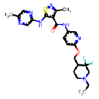 Cc1nsc(Nc2cnc(C(F)(F)F)cn2)c1C(=O)Nc1ccc(OCC2CCN(CC(F)(F)F)CC2(F)F)nc1